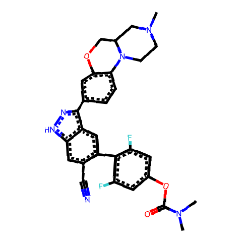 CN1CCN2c3ccc(-c4n[nH]c5cc(C#N)c(-c6c(F)cc(OC(=O)N(C)C)cc6F)cc45)cc3OCC2C1